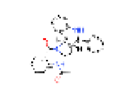 CC(=O)N[C@@H]1CCCC[C@@H]1C(=O)N1CC[C@H]2[C@H](c3ccccc3)Nc3ccccc3[C@@H]21